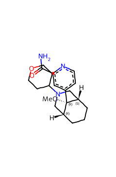 CO[C@@]1(c2ccnc(C(N)=O)c2)[C@@H]2CCC[C@H]1CN(C1CCOCC1)C2